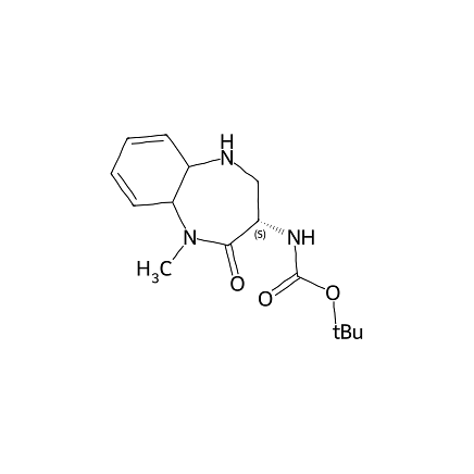 CN1C(=O)[C@@H](NC(=O)OC(C)(C)C)CNC2C=CC=CC21